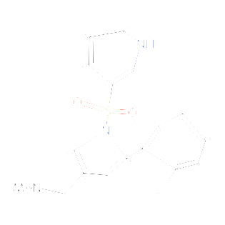 CNCc1cc(-c2ccccc2F)n(S(=O)(=O)C2=CNCC=C2)c1